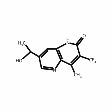 Cc1c(C(F)(F)F)c(=O)[nH]c2cc(C(C)O)cnc12